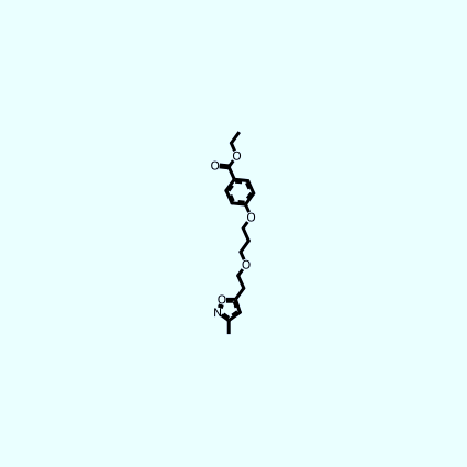 CCOC(=O)c1ccc(OCCCOCCc2cc(C)no2)cc1